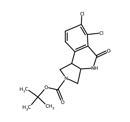 CC(C)(C)OC(=O)N1CC2NC(=O)c3c(ccc(Cl)c3Cl)C2C1